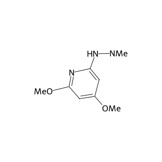 CNNc1cc(OC)cc(OC)n1